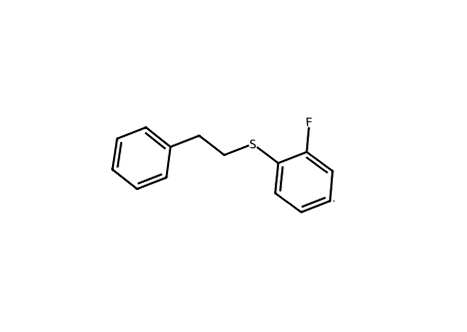 Fc1c[c]ccc1SCCc1ccccc1